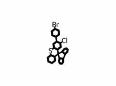 Clc1cc2c(cc1-c1ccc(Br)cc1)Sc1ccccc1C21c2ccccc2-c2ccccc21